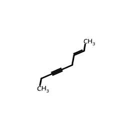 CC=CCC#CCC